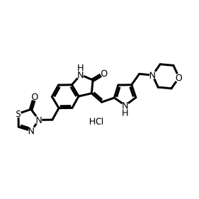 Cl.O=C1Nc2ccc(Cn3ncsc3=O)cc2/C1=C/c1cc(CN2CCOCC2)c[nH]1